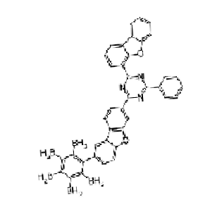 Bc1c(B)c(B)c(-c2ccc3oc4cc(-c5nc(-c6ccccc6)nc(-c6cccc7c6oc6ccccc67)n5)ccc4c3c2)c(B)c1B